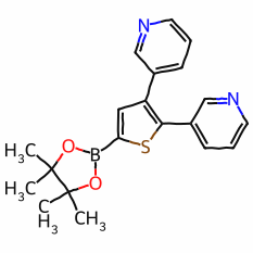 CC1(C)OB(c2cc(-c3cccnc3)c(-c3cccnc3)s2)OC1(C)C